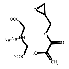 C=C(C)C(=O)OCC1CO1.O=C([O-])CNCC(=O)[O-].[Na+].[Na+]